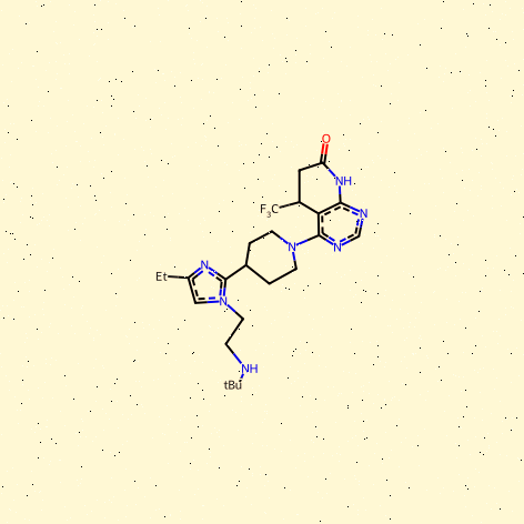 CCc1cn(CCNC(C)(C)C)c(C2CCN(c3ncnc4c3C(C(F)(F)F)CC(=O)N4)CC2)n1